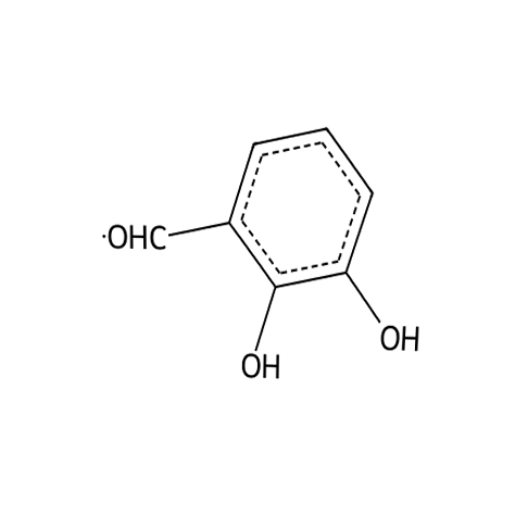 O=[C]c1cccc(O)c1O